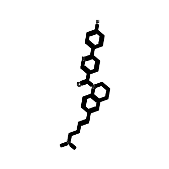 CN(C)CCC=Cc1ccc2c(c1)CCCN2C(=O)c1ccc(-c2ccc(F)cc2)nc1